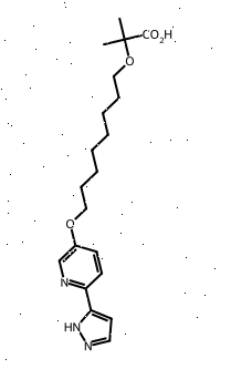 CC(C)(OCCCCCCCCOc1ccc(-c2ccn[nH]2)nc1)C(=O)O